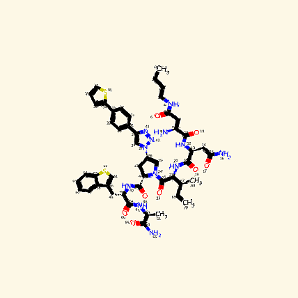 CCCCNC(=O)C[C@H](N)C(=O)N[C@@H](CC(N)=O)C(=O)N[C@H](C(=O)N1C[C@@H](n2cc(-c3ccc(-c4cccs4)cc3)nn2)C[C@H]1C(=O)N[C@@H](Cc1csc2ccccc12)C(=O)N[C@@H](C)C(N)=O)[C@@H](C)CC